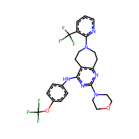 FC(F)(F)Oc1ccc(Nc2nc(N3CCOCC3)nc3c2CCN(c2ncccc2C(F)(F)F)CC3)cc1